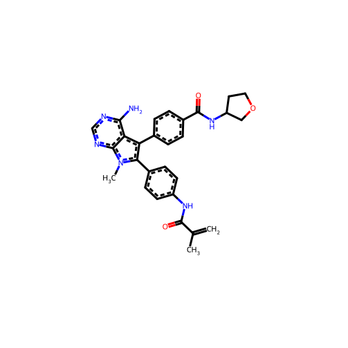 C=C(C)C(=O)Nc1ccc(-c2c(-c3ccc(C(=O)NC4CCOC4)cc3)c3c(N)ncnc3n2C)cc1